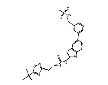 CC(C)(C)c1nc(CCNC(=O)Nc2nc3ccc(-c4cncc(CNS(C)(=O)=O)c4)cc3s2)no1